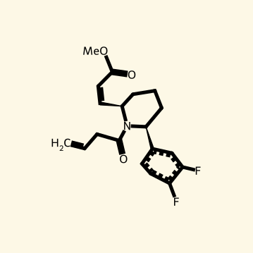 C=CCC(=O)N1[C@@H](/C=C\C(=O)OC)CCC[C@H]1c1ccc(F)c(F)c1